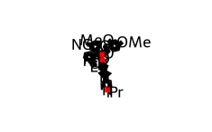 CCOc1ncccc1[C@@]1(NC(=O)N2CC3(C2)CN(C2CCN(C(C)C)CC2)C3)C(=O)N(S(=O)(=O)c2ccc(OC)cc2OC)c2ccc(C#N)cc21